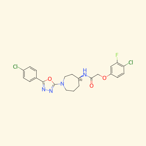 O=C(COc1ccc(Cl)c(F)c1)N[C@H]1CCCN(c2nnc(-c3ccc(Cl)cc3)o2)CC1